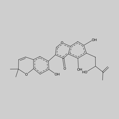 C=C(C)C(O)Cc1c(O)cc2occ(-c3cc4c(cc3O)OC(C)(C)C=C4)c(=O)c2c1O